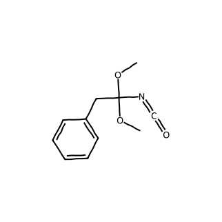 COC(Cc1ccccc1)(N=C=O)OC